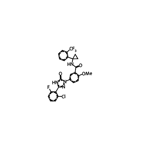 COc1ccc(-n2nc(-c3c(F)cccc3Cl)[nH]c2=O)cc1C(=O)NC1(c2ccccc2C(F)(F)F)CC1